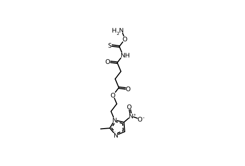 Cc1ncc([N+](=O)[O-])n1CCOC(=O)CCC(=O)NC(=S)ON